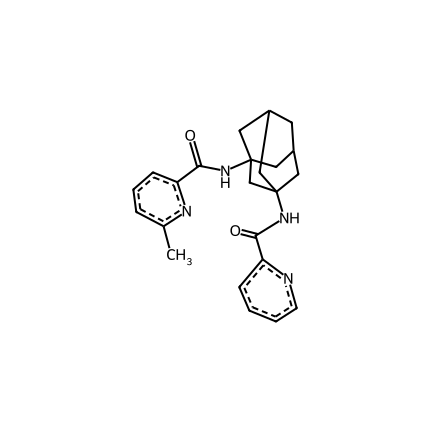 Cc1cccc(C(=O)NC23CC4CC(CC(NC(=O)c5ccccn5)(C4)C2)C3)n1